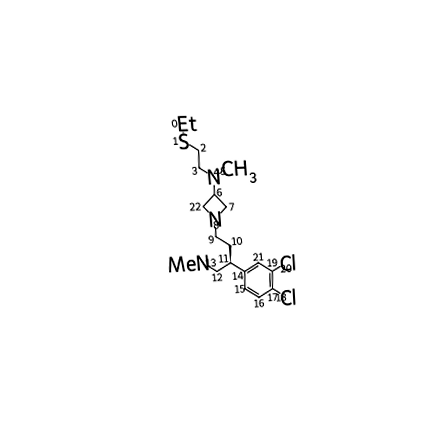 CCSCCN(C)C1CN(CC[C@H](CNC)c2ccc(Cl)c(Cl)c2)C1